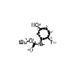 CC(C)(C)OC(=O)Nc1cc(O)ccc1F